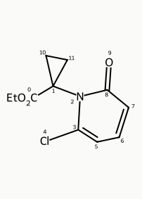 CCOC(=O)C1(n2c(Cl)cccc2=O)CC1